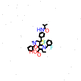 CCc1c(C(=O)O)c(=O)c2c(CN(C)Cc3ccccc3)c(-c3ccc(NC(=O)C(C)C)cc3)sc2n1Cc1c(F)cccc1F